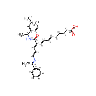 C/C=C\C(=C/CC)C(C)NC(=O)C(/C=C/C=C/CCCCC(=O)O)=C/C=C/N=C(\C)c1ccccc1